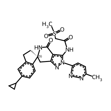 Cc1ccc(-n2nc3c(c2NC(=O)CS(C)(=O)=O)C(=O)N[C@@]2(CCc4cc(C5CC5)ccc42)C3)nn1